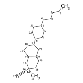 CCCCCC1CCC(C2CCC3CC(C)(C#N)CCC3C2)CC1